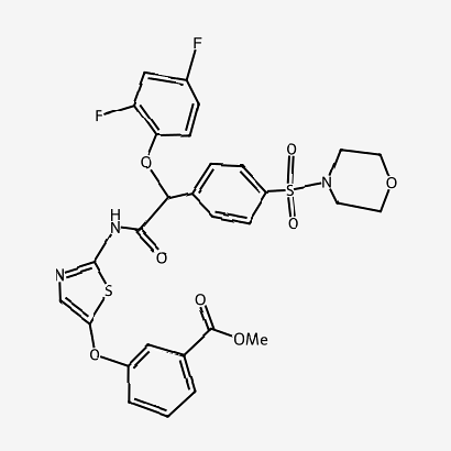 COC(=O)c1cccc(Oc2cnc(NC(=O)C(Oc3ccc(F)cc3F)c3ccc(S(=O)(=O)N4CCOCC4)cc3)s2)c1